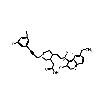 COc1ccc2ncc(Cl)c([C@H](N)CCC3CCN(CC#Cc4cc(F)cc(F)c4)CC3CC(=O)O)c2c1